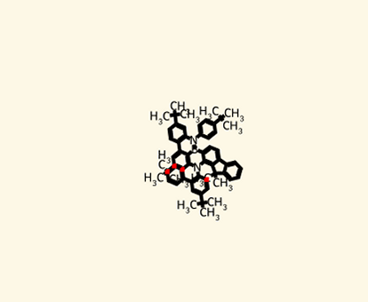 CC(C)(C)c1ccc(N2B3c4ccc5c(c4N(c4ccc(C(C)(C)C)cc4-c4ccccc4)c4cc(C(C)(C)C)cc(c43)-c3ccc(C(C)(C)C)cc32)C(C)(C)c2ccccc2-5)cc1